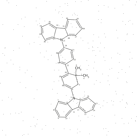 CC1(C)CC(n2c3ccccc3c3ccccc32)=CC=C1c1ccc(-n2c3ccccc3c3ccccc32)cc1